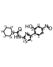 O=Nc1ccc(-c2csc(NC(=O)N3CCCCC3)n2)c(O)c1